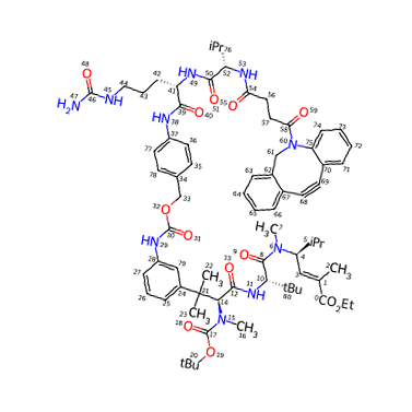 CCOC(=O)/C(C)=C/[C@H](C(C)C)N(C)C(=O)[C@@H](NC(=O)[C@@H](N(C)C(=O)OC(C)(C)C)C(C)(C)c1cccc(NC(=O)OCc2ccc(NC(=O)[C@H](CCCNC(N)=O)NC(=O)[C@@H](NC(=O)CCC(=O)N3Cc4ccccc4C#Cc4ccccc43)C(C)C)cc2)c1)C(C)(C)C